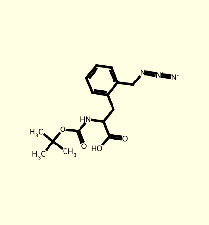 CC(C)(C)OC(=O)NC(Cc1ccccc1CN=[N+]=[N-])C(=O)O